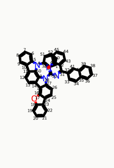 c1ccc(-n2c3ccccc3c3ccc4c5c6oc7ccccc7c6ccc5n(-c5nc(-c6ccc7ccccc7c6)c6ccccc6n5)c4c32)cc1